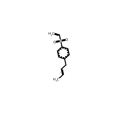 C=CS(=O)(=O)c1ccc(C/C=C/C)cc1